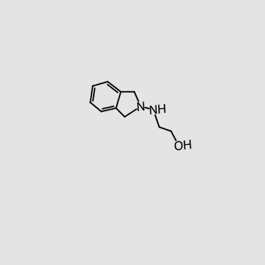 OCCNN1Cc2ccccc2C1